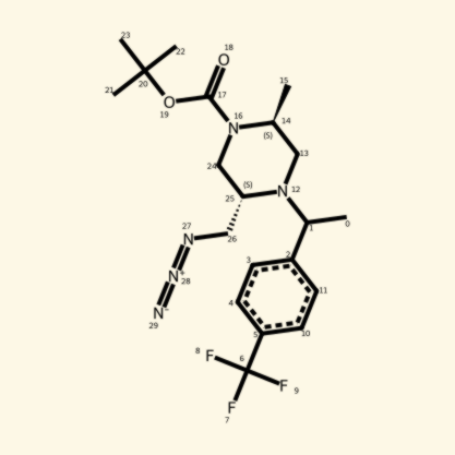 CC(c1ccc(C(F)(F)F)cc1)N1C[C@H](C)N(C(=O)OC(C)(C)C)C[C@H]1CN=[N+]=[N-]